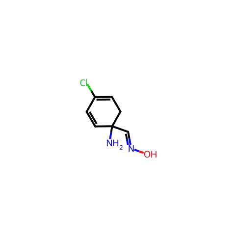 NC1(C=NO)C=CC(Cl)=CC1